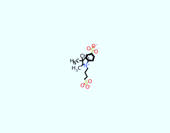 CC1=[N+](CCCCS(=O)(=O)[O-])c2ccc(S(=O)(=O)[O-])cc2C1(C)C.[K+]